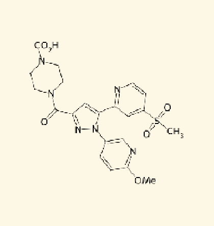 COc1ccc(-n2nc(C(=O)N3CCN(C(=O)O)CC3)cc2-c2cc(S(C)(=O)=O)ccn2)cn1